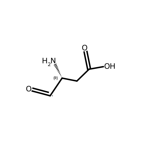 N[C@@H]([C]=O)CC(=O)O